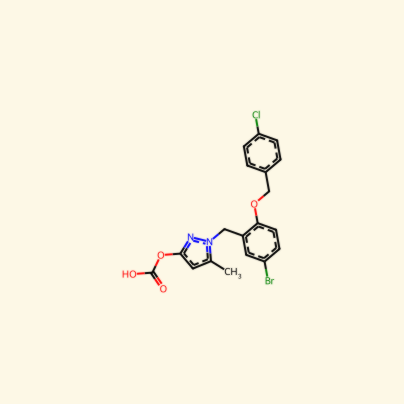 Cc1cc(OC(=O)O)nn1Cc1cc(Br)ccc1OCc1ccc(Cl)cc1